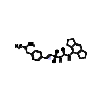 CN(C)Cc1ccc(/C=C/S(=O)(=O)NC(=O)Nc2c3c(cc4c2CCC4)CCC3)cc1